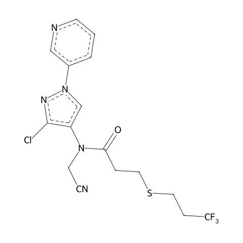 N#CCN(C(=O)CCSCCC(F)(F)F)c1cn(-c2cccnc2)nc1Cl